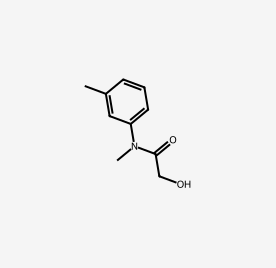 Cc1cccc(N(C)C(=O)CO)c1